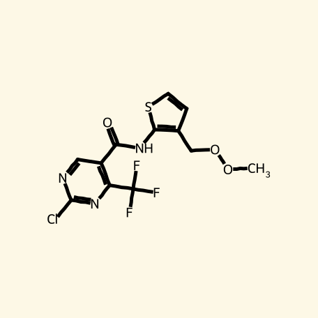 COOCc1ccsc1NC(=O)c1cnc(Cl)nc1C(F)(F)F